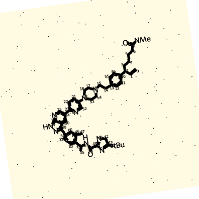 C=CC(CCCCC(=O)NC)c1ccc(CCN2CCN(c3ccc(-c4cnc5[nH]nc(-c6ccc(C(C)NC(=O)C7=NCC(C(C)(C)C)=N7)c(C)c6)c5c4)nc3)CC2)cc1